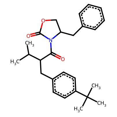 CC(C)C(Cc1ccc(C(C)(C)C)cc1)C(=O)N1C(=O)OCC1Cc1ccccc1